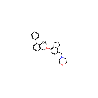 Cc1c(COc2ccc(CN3CCOCC3)c3c2CCC3)cccc1-c1ccccc1